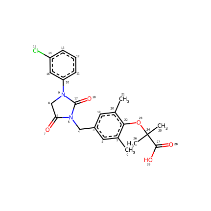 Cc1cc(CN2C(=O)CN(c3cccc(Cl)c3)C2=O)cc(C)c1OC(C)(C)C(=O)O